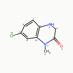 CN1C(=O)CNc2ccc(Cl)cc21